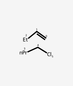 C=CCC.CCCCCl